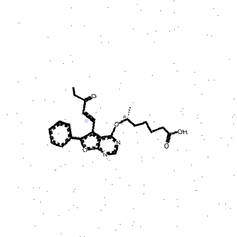 CCC(=O)/C=C/c1c(-c2ccccc2)oc2ncnc(O[C@H](C)CCCCC(=O)O)c12